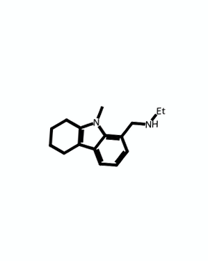 CCNCc1cccc2c3c(n(C)c12)CCCC3